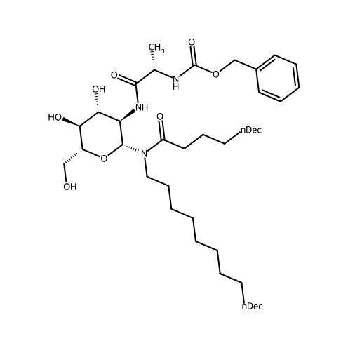 CCCCCCCCCCCCCCCCCCN(C(=O)CCCCCCCCCCCCC)[C@@H]1O[C@H](CO)[C@@H](O)[C@H](O)[C@H]1NC(=O)[C@H](C)NC(=O)OCc1ccccc1